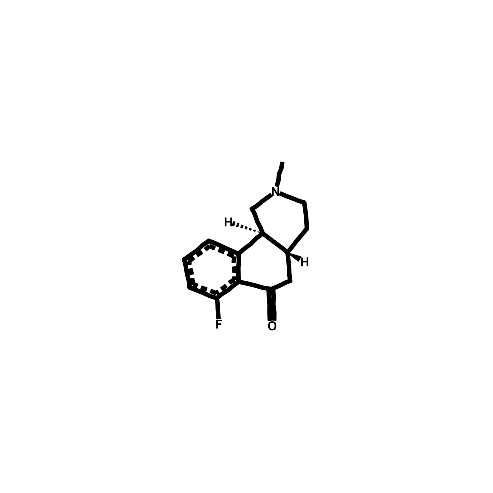 CN1CC[C@@H]2CC(=O)c3c(F)cccc3[C@H]2C1